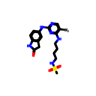 CS(=O)(=O)NCCCCNc1nc(Nc2ccc3c(c2)CC(=O)N3)ncc1C(F)(F)F